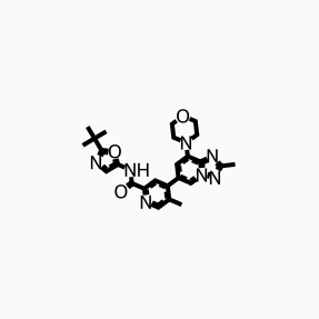 Cc1nc2c(N3CCOCC3)cc(-c3cc(C(=O)Nc4cnc(C(C)(C)C)o4)ncc3C)cn2n1